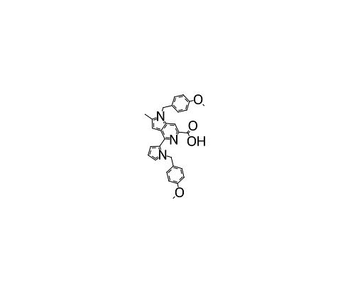 COc1ccc(Cn2cccc2-c2nc(C(=O)O)cc3c2cc(C)n3Cc2ccc(OC)cc2)cc1